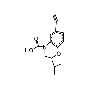 C#Cc1ccc2c(c1)N(C(=O)O)CC(C(C)(C)C)O2